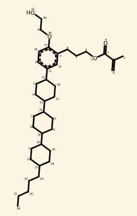 C=C(C)C(=O)OCCCc1cc(C2CCC(C3CCC(C4CCC(CCCCC)CC4)CC3)CC2)ccc1OCCO